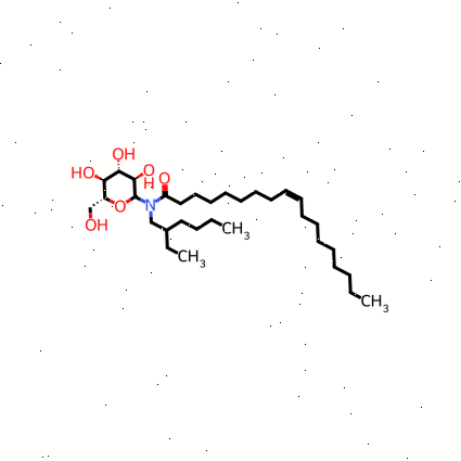 CCCCCCCC/C=C\CCCCCCCC(=O)N(CC(CC)CCCC)C1O[C@H](CO)[C@@H](O)[C@H](O)[C@H]1O